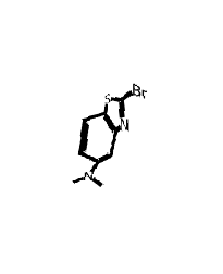 CN(C)c1ccc2sc(Br)nc2c1